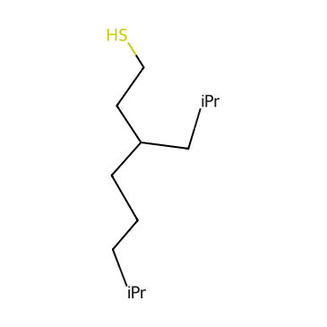 CC(C)CCCC(CCS)CC(C)C